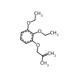 C=C(C)COc1cc[c]c(OCC)c1OCC